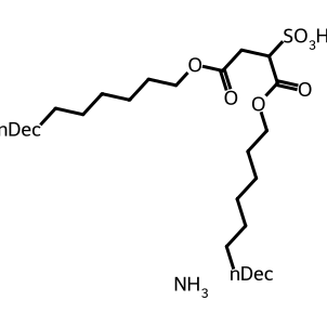 CCCCCCCCCCCCCCCCOC(=O)CC(C(=O)OCCCCCCCCCCCCCCCC)S(=O)(=O)O.N